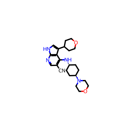 N#Cc1cnc2[nH]cc(C3CCOCC3)c2c1N[C@H]1CC[C@H](N2CCOCC2)CC1